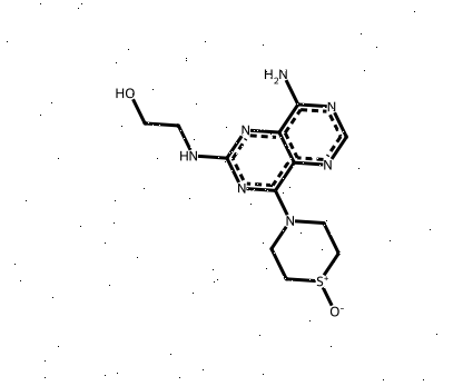 Nc1ncnc2c(N3CC[S+]([O-])CC3)nc(NCCO)nc12